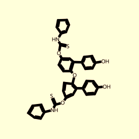 Oc1ccc(-c2cc(OC(=S)Nc3ccccc3)ccc2Oc2ccc(OC(=S)Nc3ccccc3)cc2-c2ccc(O)cc2)cc1